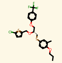 CCCOc1ccc(SC[C@@H](COc2ccc(C(F)(F)F)cc2)OCc2ccc(Cl)s2)cc1C